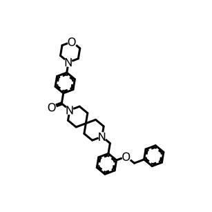 O=C(c1ccc(N2CCOCC2)cc1)N1CCC2(CCN(Cc3ccccc3OCc3ccccc3)CC2)CC1